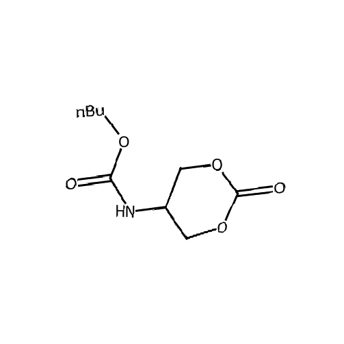 CCCCOC(=O)NC1COC(=O)OC1